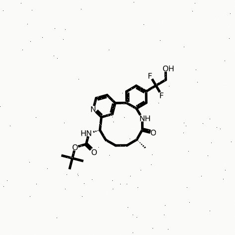 C[C@@H]1CCC[C@H](NC(=O)OC(C)(C)C)c2cc(ccn2)-c2ccc(C(F)(F)CO)cc2NC1=O